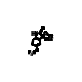 CCOC1(OCC)C(=O)Nc2ccc(OC(F)(F)F)cc21